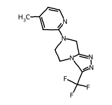 Cc1ccnc(N2CCn3c(nnc3C(F)(F)F)C2)c1